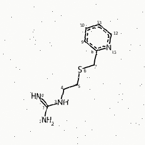 N=C(N)NCCSCc1ccccn1